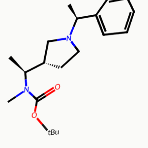 C[C@@H](c1ccccc1)N1CC[C@H]([C@H](C)N(C)C(=O)OC(C)(C)C)C1